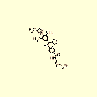 CCOC(=O)C=CNC(=O)c1ccc(NC(c2cc(C)c(-n3cc(C(F)(F)F)cn3)c(C)c2)C2CCCC2)nc1